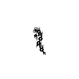 N#Cc1ccc(COc2nc(-c3ccc(Cc4nc5ccc(C(=O)O)nc5n4C[C@@H]4CCO4)cc3F)ccc2F)c(F)c1